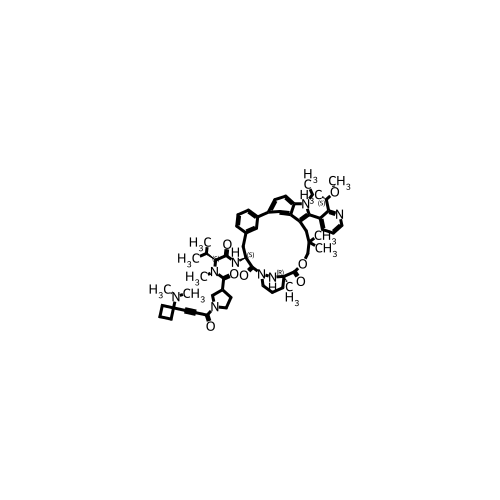 CCn1c(-c2cccnc2[C@H](C)OC)c2c3cc(ccc31)-c1cccc(c1)C[C@H](NC(=O)[C@H](C(C)C)N(C)C(=O)C1CCN(C(=O)C#CC3(N(C)C)CCC3)C1)C(=O)N1CCC[C@@](C)(N1)C(=O)OCC(C)(C)C2